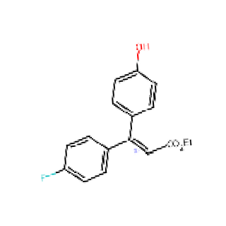 CCOC(=O)/C=C(\c1ccc(O)cc1)c1ccc(F)cc1